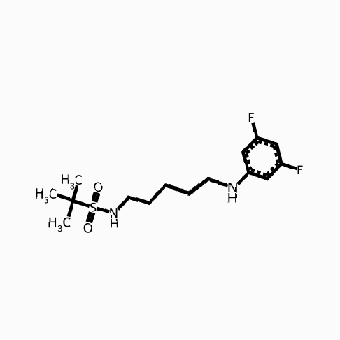 CC(C)(C)S(=O)(=O)NCCCCCNc1cc(F)cc(F)c1